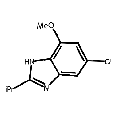 COc1cc(Cl)cc2nc(C(C)C)[nH]c12